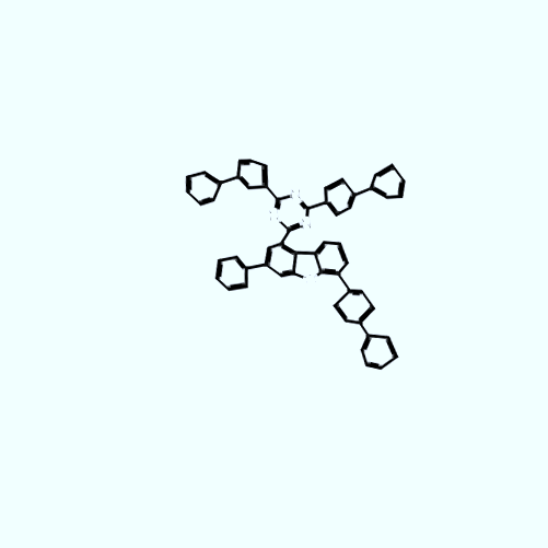 c1ccc(-c2ccc(-c3nc(-c4cccc(-c5ccccc5)c4)nc(-c4cc(-c5ccccc5)cc5oc6c(-c7ccc(-c8ccccc8)cc7)cccc6c45)n3)cc2)cc1